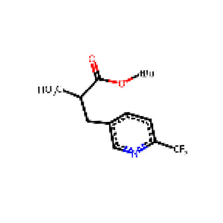 CC(C)(C)OC(=O)C(Cc1ccc(C(F)(F)F)nc1)C(=O)O